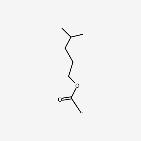 [CH2]C(=O)OCCCC(C)C